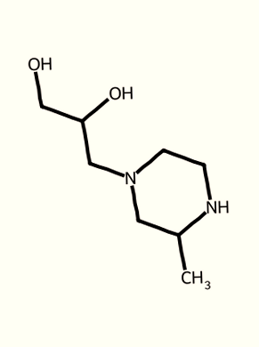 CC1CN(CC(O)CO)CCN1